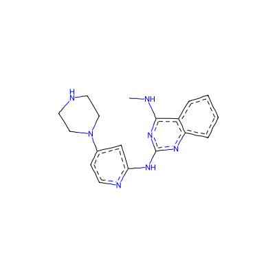 CNc1nc(Nc2cc(N3CCNCC3)ccn2)nc2ccccc12